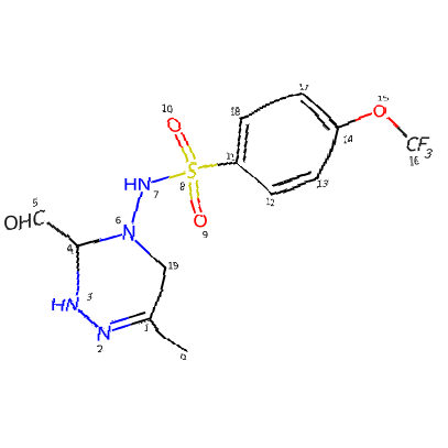 CC1=NNC(C=O)N(NS(=O)(=O)c2ccc(OC(F)(F)F)cc2)C1